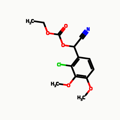 CCOC(=O)OC(C#N)c1ccc(OC)c(OC)c1Cl